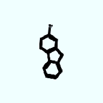 BrC1=CC2=C(CC1)c1ccccc1C2